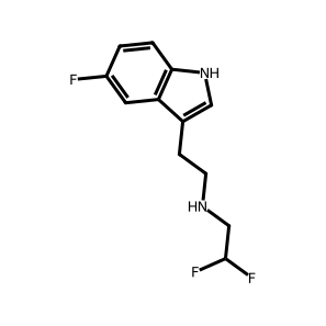 Fc1ccc2[nH]cc(CCNCC(F)F)c2c1